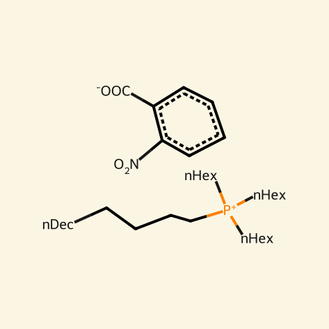 CCCCCCCCCCCCCC[P+](CCCCCC)(CCCCCC)CCCCCC.O=C([O-])c1ccccc1[N+](=O)[O-]